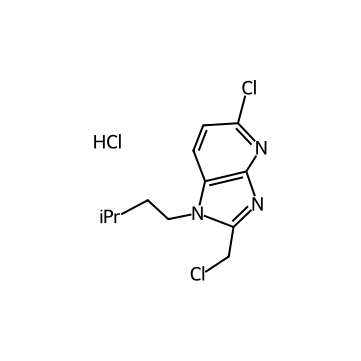 CC(C)CCn1c(CCl)nc2nc(Cl)ccc21.Cl